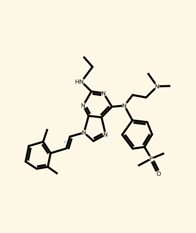 CCNc1nc(N(CCN(C)C)c2ccc(P(C)(C)=O)cc2)c2ncn(/C=C/c3c(C)cccc3C)c2n1